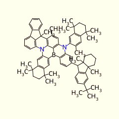 Cc1cc2c(cc1N1c3cc(C4c5ccc(C(C)(C)C)cc5C5(C)CCCCC45C)ccc3B3c4cc5c(cc4N4c6cccc7c6C(C)(c6ccccc6-7)c6c(C)cc1c3c64)C(C)(C)CCC5(C)C)C(C)(C)CCC2(C)C